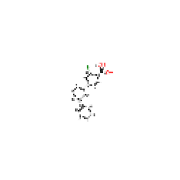 OB(O)c1ccc(-c2cccc(-c3ccccc3)c2)cc1F